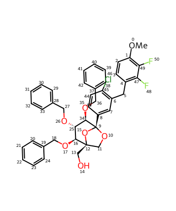 COc1ccc(Cc2cc([C@@]34OC[C@@](CO)(O3)[C@@H](OCc3ccccc3)[C@H](OCc3ccccc3)[C@H]4OCc3ccccc3)ccc2Cl)c(F)c1F